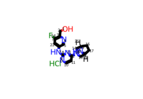 Cl.OCc1ncc(Nc2nccc(N3C[C@H]4CC[C@@H](C3)N4)n2)cc1F